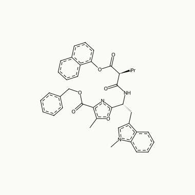 Cc1oc([C@@H](Cc2cn(C)c3ccccc23)NC(=O)[C@@H](C(=O)Oc2cccc3ccccc23)C(C)C)nc1C(=O)OCc1ccccc1